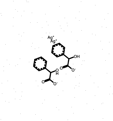 O=C([O-])C(O)c1ccccc1.O=C([O-])C(O)c1ccccc1.[Ag+].[Ag+]